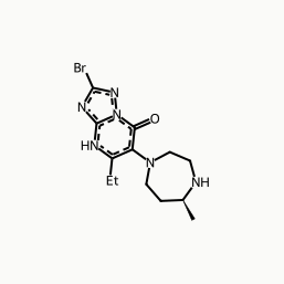 CCc1[nH]c2nc(Br)nn2c(=O)c1N1CCN[C@@H](C)CC1